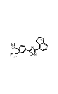 CCOc1ccc(-c2nc(-c3cccc4c3CC[C@@H]4C)no2)cc1C(F)(F)F